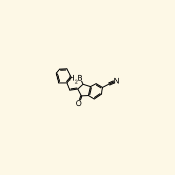 BC1/C(=C\c2ccccc2)C(=O)c2ccc(C#N)cc21